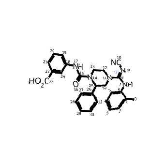 Cc1ccccc1N/C(=N/C#N)N1CCN(C(=O)Nc2cccc(C(=O)O)c2)C(c2ccccc2)C1